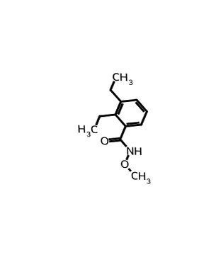 CCc1cccc(C(=O)NOC)c1CC